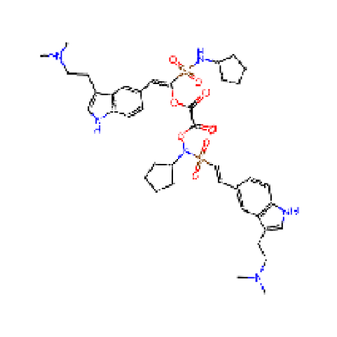 CN(C)CCc1c[nH]c2ccc(/C=C/S(=O)(=O)N(OC(=O)C(=O)O/C(=C\c3ccc4[nH]cc(CCN(C)C)c4c3)S(=O)(=O)NC3CCCC3)C3CCCC3)cc12